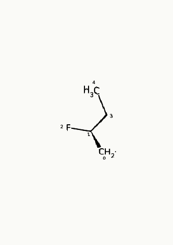 [CH2][C@@H](F)CC